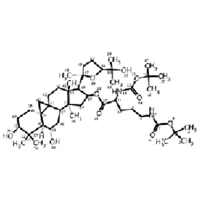 CC(C)(C)OC(=O)NCCCC(NC(=O)OC(C)(C)C)C(=O)O[C@H]1C[C@@]2(C)C3C[C@H](O)[C@H]4C(C)(C)[C@@H](O)CC[C@@]45CC35CC[C@]2(C)[C@H]1[C@@]1(C)CC[C@@H](C(C)(C)O)O1